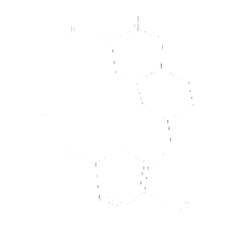 Cl.O=C(O)c1ccc(Cl)cc1SC1CCC2CNC(C(=O)O)CC2C1